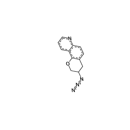 [N-]=[N+]=NC1COc2c(ccc3ncccc23)C1